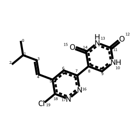 CC(C)C=Cc1cc(-c2c[nH]c(=O)[nH]c2=O)nnc1Cl